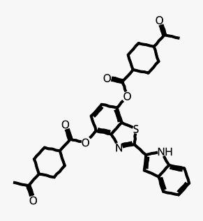 CC(=O)C1CCC(C(=O)Oc2ccc(OC(=O)C3CCC(C(C)=O)CC3)c3sc(-c4cc5ccccc5[nH]4)nc23)CC1